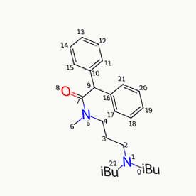 CCC(C)N(CCCN(C)C(=O)C(c1ccccc1)c1ccccc1)C(C)CC